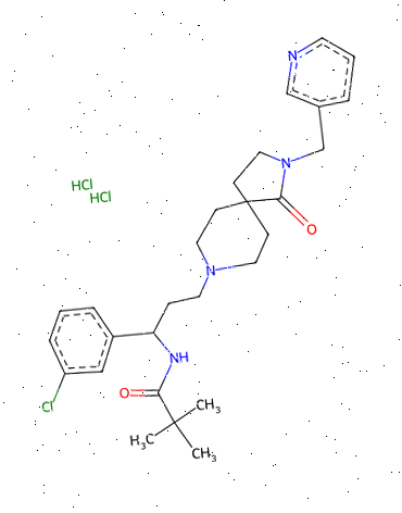 CC(C)(C)C(=O)NC(CCN1CCC2(CC1)CCN(Cc1cccnc1)C2=O)c1cccc(Cl)c1.Cl.Cl